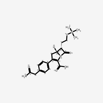 C[Si](C)(C)OCC[C@@H]1C(=O)N2C(C(=O)O)=C(c3ccc(CC(N)=O)cc3)C[C@H]12